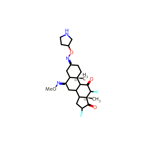 CON=C1CC2C(C(=O)C(F)[C@]3(C)C(=O)C(F)CC23)[C@@]2(C)CCC(=NOC3CCNC3)CC12